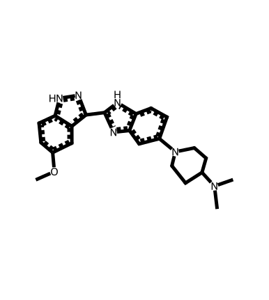 COc1ccc2[nH]nc(-c3nc4cc(N5CCC(N(C)C)CC5)ccc4[nH]3)c2c1